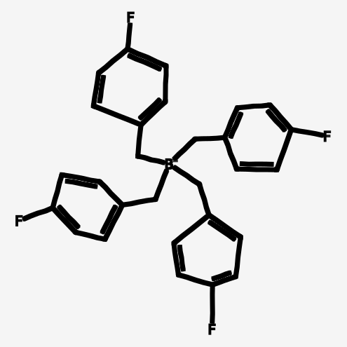 Fc1ccc(C[B-](Cc2ccc(F)cc2)(Cc2ccc(F)cc2)Cc2ccc(F)cc2)cc1